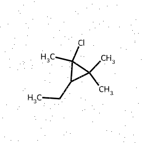 CCC1C(C)(C)C1(C)Cl